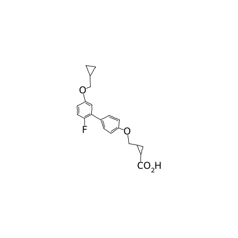 O=C(O)C1CC1COc1ccc(-c2cc(OCC3CC3)ccc2F)cc1